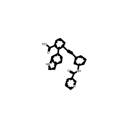 O=C(Nc1cccc(C#Cc2cccc(C(=O)O)c2-c2ccc3cc[nH]c3c2)c1)c1cccnc1